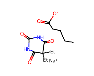 CCC1(CC)C(=O)NC(=O)NC1=O.CCCCC(=O)[O-].[Na+]